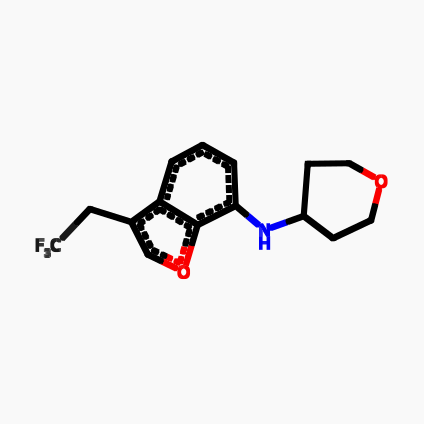 FC(F)(F)Cc1coc2c(NC3CCOCC3)cccc12